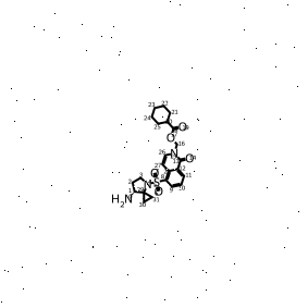 N[C@@H]1CCN(S(=O)(=O)c2cccc3c(=O)n(COC(=O)C4CCCCC4)ccc23)C12CC2